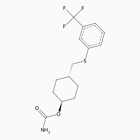 NC(=O)O[C@H]1CC[C@H](CSc2cccc(C(F)(F)F)c2)CC1